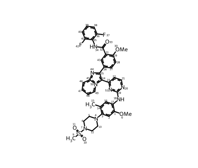 COc1cc(N2CCN(S(C)(=O)=O)CC2)c(C)cc1Nc1nccc(-c2c(-c3ccc(OC)c(C(=O)Nc4c(F)cccc4F)c3)nc3ccccn23)n1